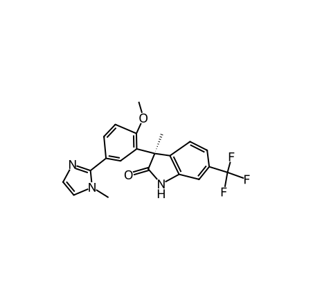 COc1ccc(-c2nccn2C)cc1[C@]1(C)C(=O)Nc2cc(C(F)(F)F)ccc21